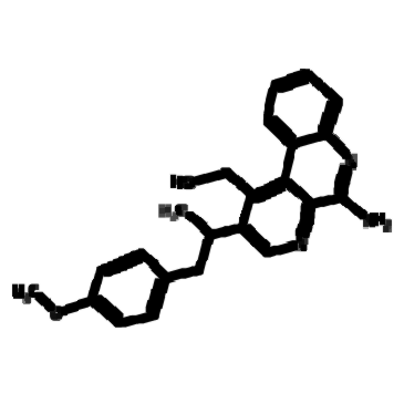 COc1ccc(CC(C)c2cnc3c(N)nc4ccccc4c3c2CO)cc1